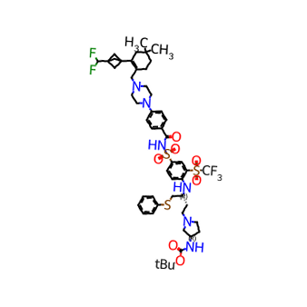 CC1(C)CCC(CN2CCN(c3ccc(C(=O)NS(=O)(=O)c4ccc(N[C@H](CCN5CC[C@@H](NC(=O)OC(C)(C)C)C5)CSc5ccccc5)c(S(=O)(=O)C(F)(F)F)c4)cc3)CC2)=C(C23CC(C(F)F)(C2)C3)C1